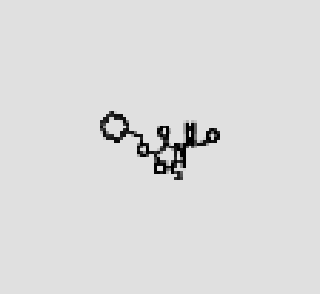 C[C@@H](OCc1ccccc1)C(=O)NNC=O